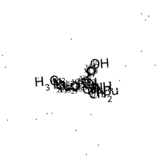 C=N/C(=N\c1c(C2CCC(O)CC2)cn(-c2ccc(CN3CCN(C)CC3)cc2)c1C)NCCCC